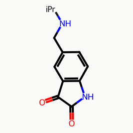 CC(C)NCc1ccc2c(c1)C(=O)C(=O)N2